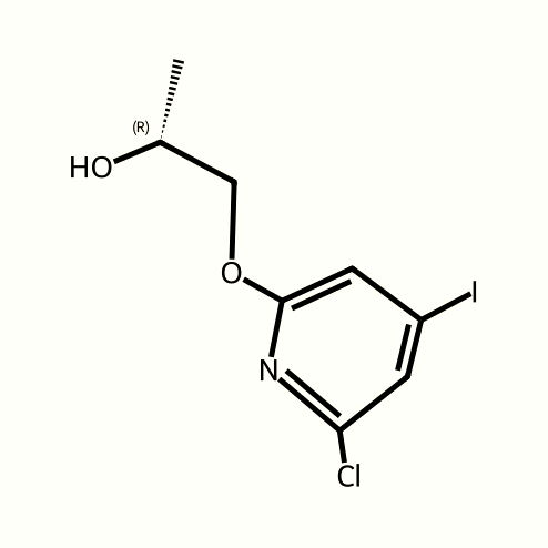 C[C@@H](O)COc1cc(I)cc(Cl)n1